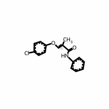 C/C(=C\Oc1ccc(Cl)cc1)C(=O)Nc1ccccc1